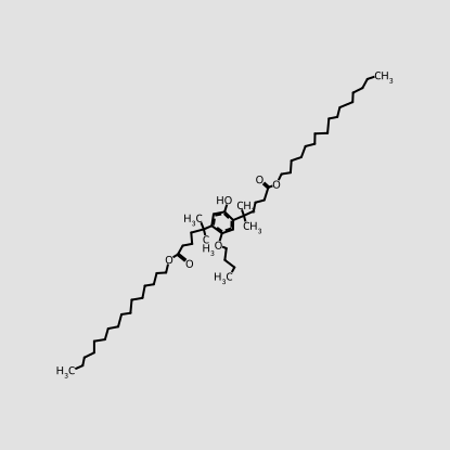 CCCCCCCCCCCCCCCCOC(=O)CCCC(C)(C)c1cc(OCCCC)c(C(C)(C)CCCC(=O)OCCCCCCCCCCCCCCCC)cc1O